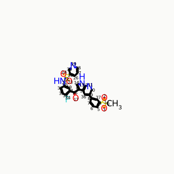 CS(=O)(=O)c1cccc(-c2cnc3[nH]cc(C(=O)c4cc(NS(=O)(=O)c5cccnc5)ccc4F)c3c2)c1